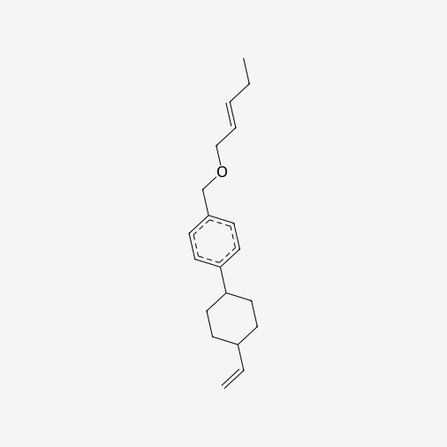 C=CC1CCC(c2ccc(COCC=CCC)cc2)CC1